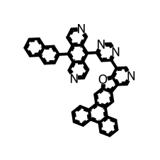 c1ccc2cc(-c3c4cnccc4c(-c4cc(-c5cncc6c5oc5cc7c8ccccc8c8ccccc8c7cc56)ncn4)c4cnccc34)ccc2c1